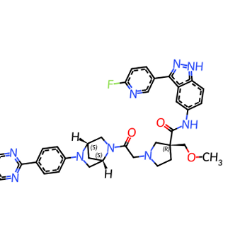 COC[C@@]1(C(=O)Nc2ccc3[nH]nc(-c4ccc(F)nc4)c3c2)CCN(CC(=O)N2C[C@@H]3C[C@H]2CN3c2ccc(-c3ncccn3)cc2)C1